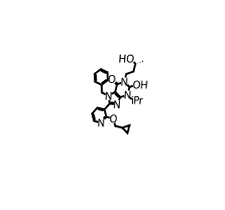 CC(C)N1c2nc(-c3cccnc3OCC3CC3)n(Cc3ccccc3)c2C(=O)N(CC[C@@H](C)O)C1O